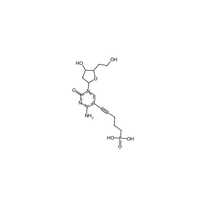 Nc1nc(=O)n(C2CC(O)C(CCO)O2)cc1C#CCCCP(=O)(O)O